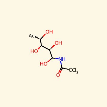 CC(=O)[C@@H](O)[C@H](O)[C@@H](O)C(O)NC(=O)C(Cl)(Cl)Cl